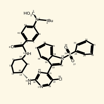 CC(C)(C)N(C(=O)O)c1ccc(C(=O)NC2CCC[C@@H](Nc3ncc(Cl)c(-c4cn(S(=O)(=O)c5ccccc5)c5ccccc45)n3)C2)cc1